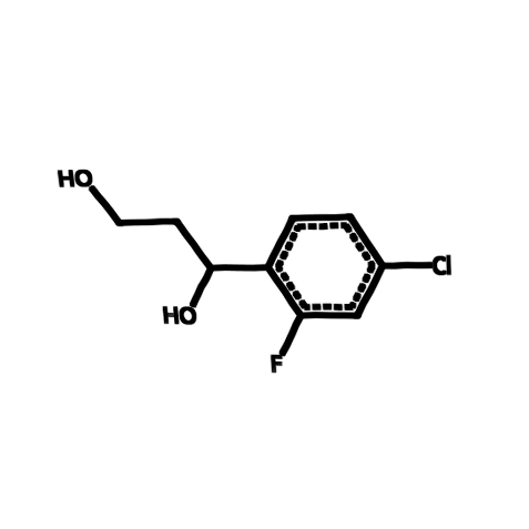 OCCC(O)c1ccc(Cl)cc1F